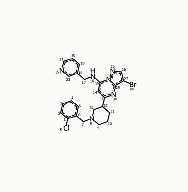 Clc1ccccc1CN1CCCC(c2cc(NCc3cccnc3)n3ncc(Br)c3n2)C1